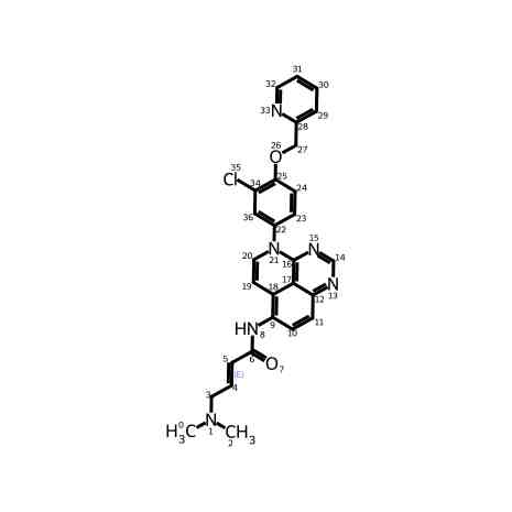 CN(C)C/C=C/C(=O)Nc1ccc2ncnc3c2c1C=CN3c1ccc(OCc2ccccn2)c(Cl)c1